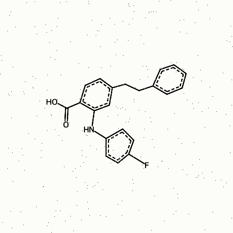 O=C(O)c1ccc(CCc2ccccc2)cc1Nc1ccc(F)cc1